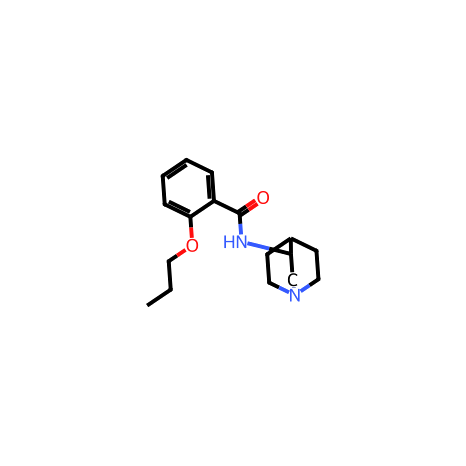 CCCOc1ccccc1C(=O)NC1CN2CCC1CC2